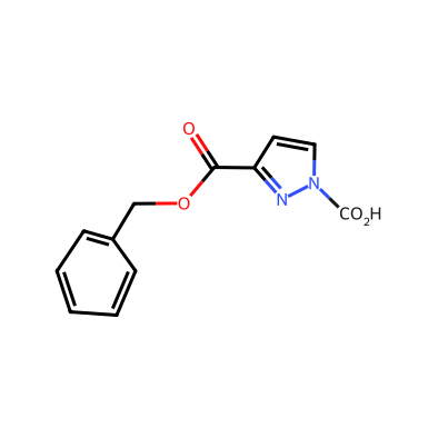 O=C(OCc1ccccc1)c1ccn(C(=O)O)n1